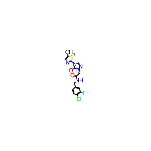 Cc1cnc(-n2cnn(CC(=O)NCc3ccc(Cl)c(F)c3)c2=O)s1